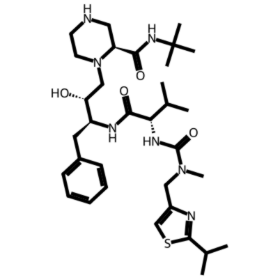 CC(C)c1nc(CN(C)C(=O)N[C@H](C(=O)N[C@@H](Cc2ccccc2)[C@H](O)CN2CCNC[C@H]2C(=O)NC(C)(C)C)C(C)C)cs1